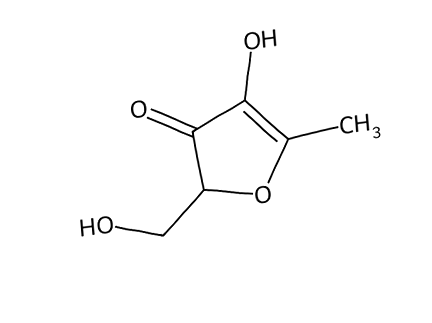 CC1=C(O)C(=O)C(CO)O1